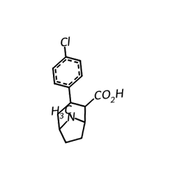 CN1C2CCC1C(C(=O)O)C(c1ccc(Cl)cc1)C2